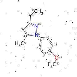 C=Cc1cc(C)n(-c2ccc(OC(F)(F)F)cc2)n1